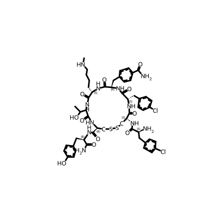 CNCCCC[C@@H]1NC(=O)[C@@H](Cc2ccc(C(N)=O)cc2)NC(=O)[C@H](Cc2ccc(Cl)cc2)NC(=O)[C@H](NC(=O)[C@@H](N)Cc2ccc(Cl)cc2)CSSC[C@@H](C(=O)N[C@H](Cc2ccc(O)cc2)C(N)=O)NC(=O)C(C(C)O)NC1=O